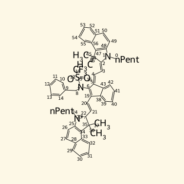 CCCCCN1/C(=C/C=C2C(N(Cc3ccccc3)S(=O)(=O)C(F)(F)F)=C(/C=C/C3=[N+](CCCCC)c4ccc5ccccc5c4C3(C)C)c3ccccc3/2)C(C)(C)c2c1ccc1ccccc21